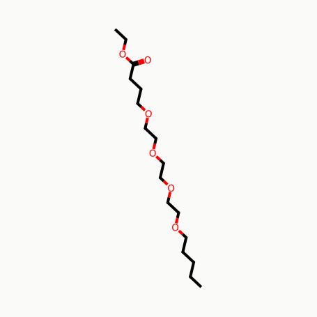 CCCCCOCCOCCOCCOCCCC(=O)OCC